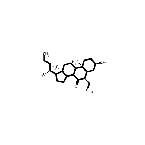 CCC[C@@H](C)C1CCC2C3C(=O)[C@H](CC)C4C[C@H](O)CC[C@]4(C)C3CC[C@@]21C